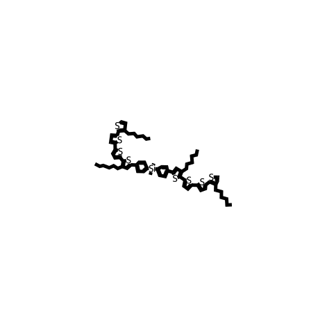 CCCCCCc1ccsc1-c1ccc(-c2ccc(-c3sc(-c4ccc([Si](C)(C)c5ccc(-c6cc(CCCCCC)c(-c7ccc(-c8ccc(-c9sccc9CCCCCC)s8)s7)s6)cc5)cc4)cc3CCCCCC)s2)s1